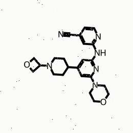 N#Cc1ccnc(Nc2cc(C3CCN(C4COC4)CC3)cc(N3CCOCC3)n2)c1